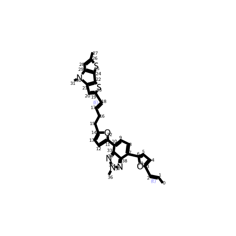 C/C=C/c1ccc(-c2ccc(-c3ccc(CC/C=C/c4cc5c(s4)c4sc(C)cc4n5C)o3)c3nn(C)nc23)o1